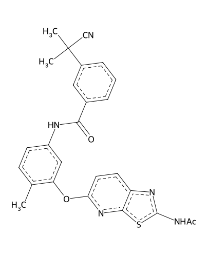 CC(=O)Nc1nc2ccc(Oc3cc(NC(=O)c4cccc(C(C)(C)C#N)c4)ccc3C)nc2s1